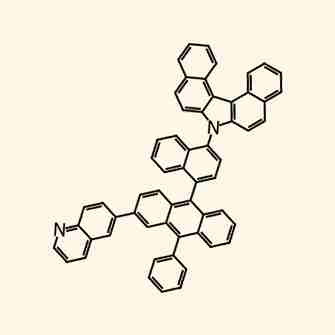 c1ccc(-c2c3ccccc3c(-c3ccc(-n4c5ccc6ccccc6c5c5c6ccccc6ccc54)c4ccccc34)c3ccc(-c4ccc5ncccc5c4)cc23)cc1